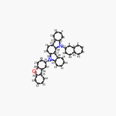 c1ccc2cc(-n3c4ccccc4c4ccc5c(c6ccccc6n5-c5ccc6oc7ccccc7c6c5)c43)ccc2c1